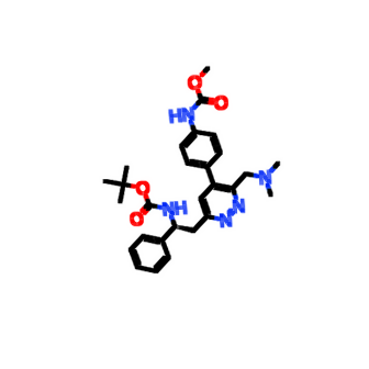 COC(=O)Nc1ccc(-c2cc(C[C@H](NC(=O)OC(C)(C)C)c3ccccc3)nnc2CN(C)C)cc1